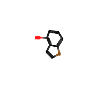 Oc1cccc2s[c]cc12